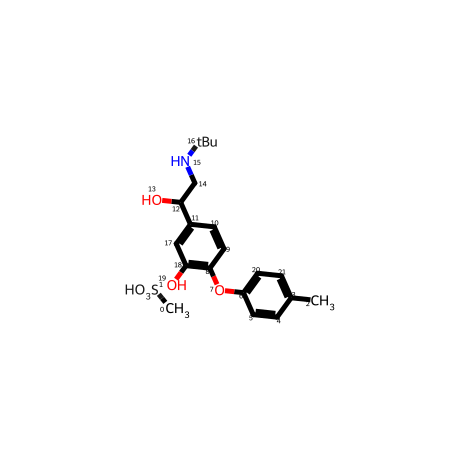 CS(=O)(=O)O.Cc1ccc(Oc2ccc(C(O)CNC(C)(C)C)cc2O)cc1